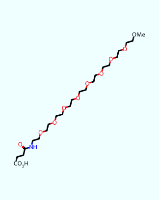 COCCOCCOCCOCCOCCOCCOCCOCCOCCNC(=O)CCC(=O)O